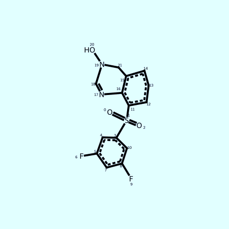 O=S(=O)(c1cc(F)cc(F)c1)c1cccc2c1N=CN(O)C2